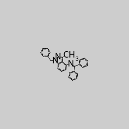 Cc1nn(Cc2ccccc2)c2cccc(N=C(c3ccccc3)c3ccccc3)c12